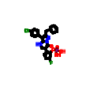 O=c1c(-c2ccc(F)cc2OP(=O)(O)O)c[nH]c2c(-c3ccc(Cl)cc3)c(Cc3ccccc3)nn12